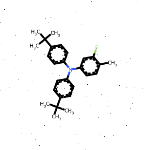 Cc1ccc(N(c2ccc(C(C)(C)C)cc2)c2ccc(C(C)(C)C)cc2)cc1F